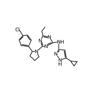 CCc1nc(Nc2cc(C3CC3)[nH]n2)nc(N2CCCC2c2ccc(Cl)cc2)n1